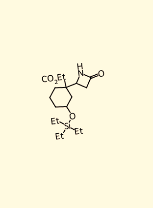 CCOC(=O)C1(C2CC(=O)N2)CCCC(O[Si](CC)(CC)CC)C1